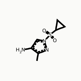 Cc1nn(S(=O)(=O)C2CC2)cc1N